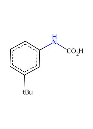 CC(C)(C)c1cccc(NC(=O)O)c1